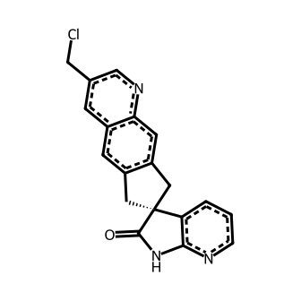 O=C1Nc2ncccc2[C@@]12Cc1cc3cc(CCl)cnc3cc1C2